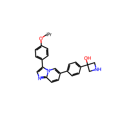 CC(C)Oc1ccc(-c2cnc3ccc(-c4ccc(C5(O)CNC5)cc4)cn23)cc1